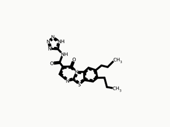 CCCc1cc2sc3ncc(C(=O)Nc4nnn[nH]4)c(=O)n3c2cc1CCC